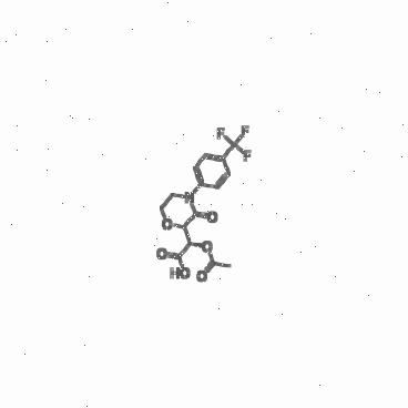 CC(=O)O[C@@H](C(=O)O)C1OCCN(c2ccc(C(F)(F)F)cc2)C1=O